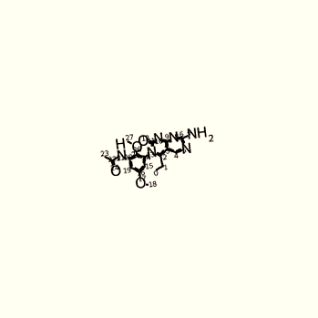 CCc1c2cnc(N)nc2nc(=O)n1-c1cc(OC)cc(NC(C)=O)c1OC